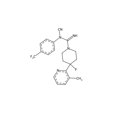 Cc1cccnc1C1(F)CCN(C(=N)N(C#N)c2ccc(C(F)(F)F)cc2)CC1